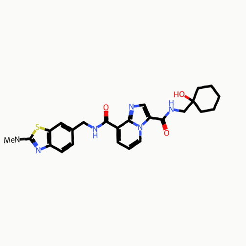 CNc1nc2ccc(CNC(=O)c3cccn4c(C(=O)NCC5(O)CCCCC5)cnc34)cc2s1